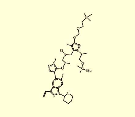 C=Cc1nn(C2CCCCO2)c2cc(F)c(-c3cnn(C)c3OC(C)CN(CC)Cc3c(I)c(OCOCC[Si](C)(C)C)nn3C(C)CO[Si](C)(C)C(C)(C)C)cc12